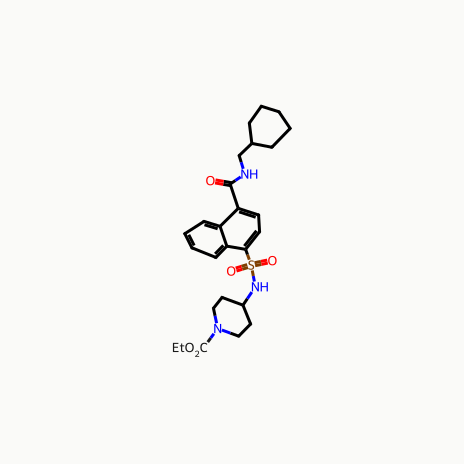 CCOC(=O)N1CCC(NS(=O)(=O)c2ccc(C(=O)NCC3CCCCC3)c3ccccc23)CC1